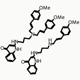 COc1ccc(/C=C/CN(C/C=C/c2ccc(OC)cc2)CCCNc2cc(=O)c3ccccc3[nH]2)cc1.COc1ccc(/C=C/CNCCCNc2cc(=O)c3ccccc3[nH]2)cc1